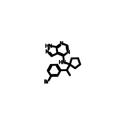 CC(c1cccc(Br)c1)C1(Nc2ncnc3[nH]ncc23)CCCC1